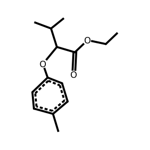 CCOC(=O)C(Oc1ccc(C)cc1)C(C)C